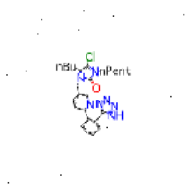 CCCCCn1c(Cl)c(CCCC)n(Cc2ccc(-c3ccccc3-c3nnn[nH]3)nc2)c1=O